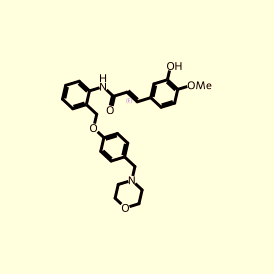 COc1ccc(/C=C/C(=O)Nc2ccccc2COc2ccc(CN3CCOCC3)cc2)cc1O